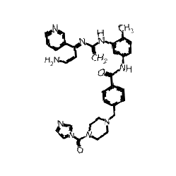 C=C(/N=C(\C=C/N)c1cccnc1)Nc1cc(NC(=O)c2ccc(CN3CCN(C(=O)n4ccnc4)CC3)cc2)ccc1C